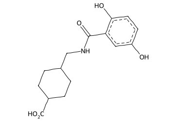 O=C(NCC1CCC(C(=O)O)CC1)c1cc(O)ccc1O